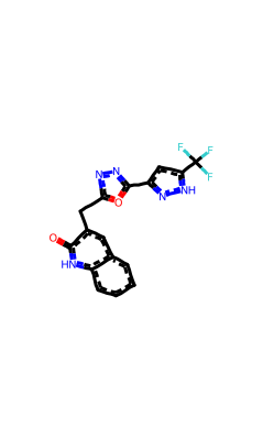 O=c1[nH]c2ccccc2cc1Cc1nnc(-c2cc(C(F)(F)F)[nH]n2)o1